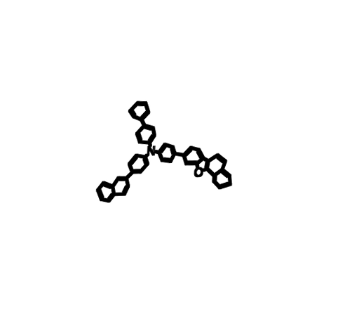 c1ccc(-c2ccc(N(c3ccc(-c4ccc5ccccc5c4)cc3)c3ccc(-c4ccc5c(c4)oc4c6ccccc6ccc54)cc3)cc2)cc1